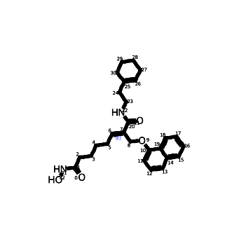 O=C(CCCC/C=C(\COc1cccc2ccccc12)C(=O)NCCC1=CCCCC1)NO